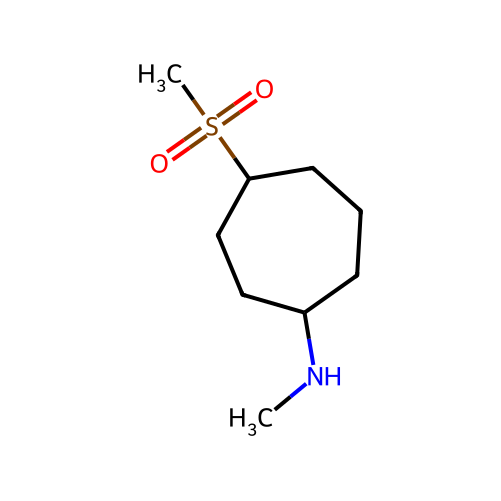 CNC1CCCC(S(C)(=O)=O)CC1